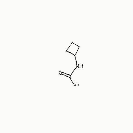 CC(C)C(=O)NC1C[CH]C1